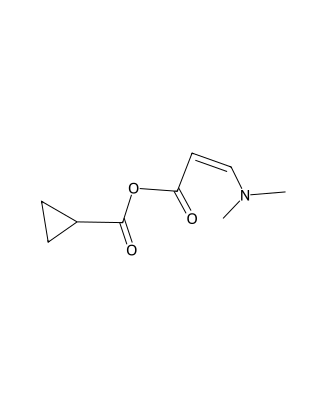 CN(C)/C=C\C(=O)OC(=O)C1CC1